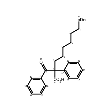 CCCCCCCCCCCCCCCCC(C(=O)O)(C(=O)c1ccccc1)c1ccccc1